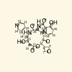 C[C@H]1CC(=O)C(C2COC2)OC(=O)[C@H](C)[C@H](O)[C@H](Cc2cccnc2)NC(=O)[C@H]1NC(=O)c1ncccc1O